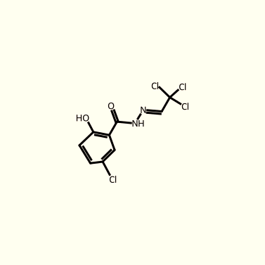 O=C(NN=CC(Cl)(Cl)Cl)c1cc(Cl)ccc1O